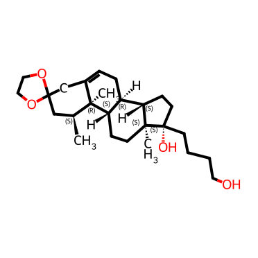 C[C@H]1CC2(CC3=CC[C@@H]4[C@H](CC[C@@]5(C)[C@H]4CC[C@@]5(O)CCCCO)[C@]31C)OCCO2